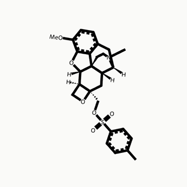 COc1ccc2c3c1O[C@H]1[C@@H]4CO[C@]4(COS(=O)(=O)c4ccc(C)cc4)C[C@H]4[C@@H](C2)N(C)CC[C@@]341